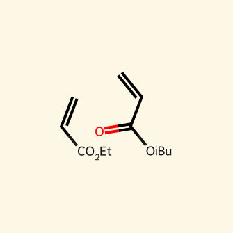 C=CC(=O)OCC.C=CC(=O)OCC(C)C